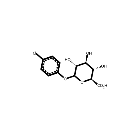 O=C(O)[C@H]1OC(Oc2ccc(Cl)cc2)[C@H](O)[C@@H](O)[C@@H]1O